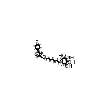 O[C@H]1[C@H](O)[C@@H](O)CN(CCCCCCCOCc2csc(-c3ccc(F)cc3)n2)C[C@@H]1O